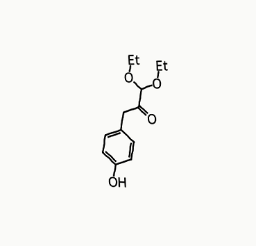 CCOC(OCC)C(=O)Cc1ccc(O)cc1